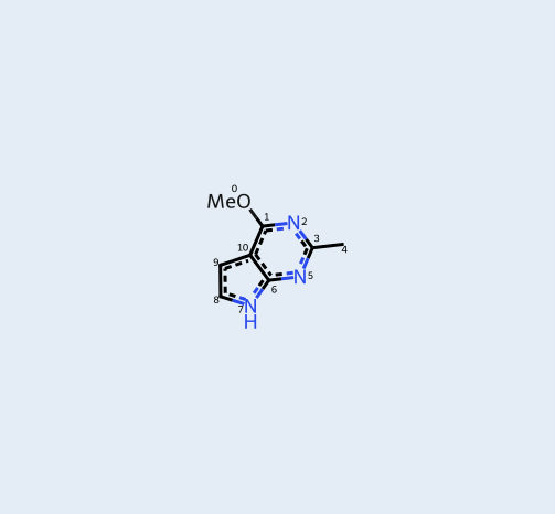 COc1nc(C)nc2[nH]ccc12